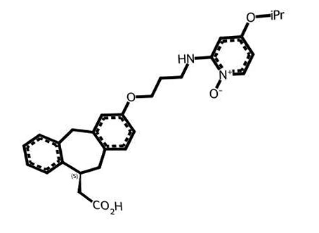 CC(C)Oc1cc[n+]([O-])c(NCCCOc2ccc3c(c2)Cc2ccccc2[C@H](CC(=O)O)C3)c1